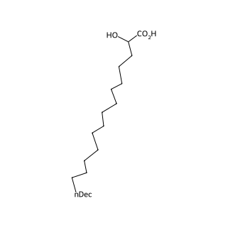 CCCCCCCCCCCCCCCCCCCCCCC(O)C(=O)O